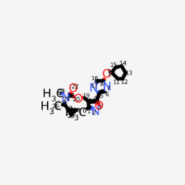 Cc1noc(-c2cnc(OC3CCCCC3)cn2)c1COC(=O)N(C)C(C)C1CC1